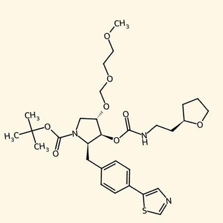 COCCOCO[C@H]1CN(C(=O)OC(C)(C)C)[C@H](Cc2ccc(-c3cncs3)cc2)[C@@H]1OC(=O)NCC[C@H]1CCCO1